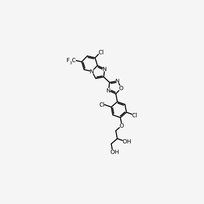 OCC(O)COc1cc(Cl)c(-c2nc(-c3cn4cc(C(F)(F)F)cc(Cl)c4n3)no2)cc1Cl